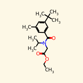 CCOC(=O)CN(C(=O)c1cc(C)cc(C(C)(C)C)c1)C(C)C